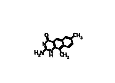 Cc1ccc2c(C)c3[nH]c(N)nc(=O)c3cc2c1